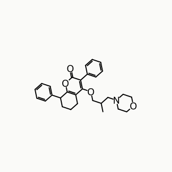 CC(COc1c2c(oc(=O)c1-c1ccccc1)C(c1ccccc1)CCC2)CN1CCOCC1